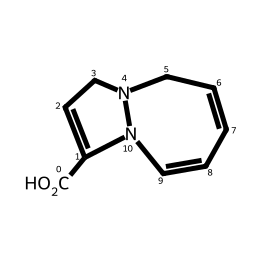 O=C(O)C1=CCN2CC=CC=CN12